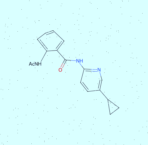 CC(=O)Nc1ccccc1C(=O)Nc1ccc(C2CC2)cn1